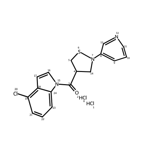 Cl.Cl.O=C(C1CSN(c2cccnc2)C1)n1ccc2c(Cl)cccc21